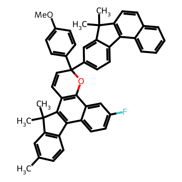 COc1ccc(C2(c3ccc4c(c3)C(C)(C)c3ccc5ccccc5c3-4)C=Cc3c4c(c5ccc(F)cc5c3O2)-c2ccc(C)cc2C4(C)C)cc1